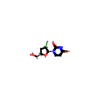 O=c1[nH]c(=S)ccn1[C@@H]1O[C@H](CO)C[C@@H]1F